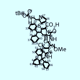 CON=C(C(=O)N[C@@H]1C(=O)N2C(C(=O)O)=C(Sc3cccnc3CCNC(=O)OC(C)(C)C)C(C(c3ccccc3)c3ccccc3)C[C@H]12)c1nc(NC(c2ccccc2)(c2ccccc2)c2ccccc2)sc1Cl